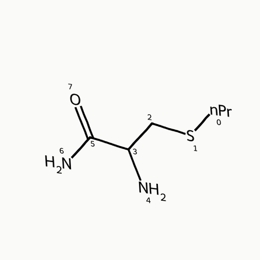 CCCSCC(N)C(N)=O